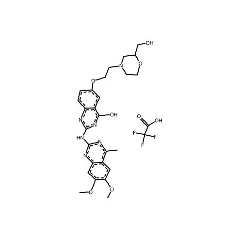 COc1cc2nc(Nc3nc(O)c4cc(OCCN5CCOC(CO)C5)ccc4n3)nc(C)c2cc1OC.O=C(O)C(F)(F)F